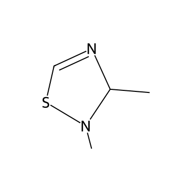 CC1N=CSN1C